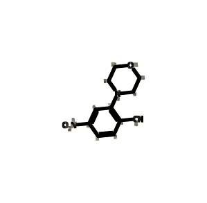 N#Cc1ccc([N+](=O)[O-])cc1N1CCOCC1